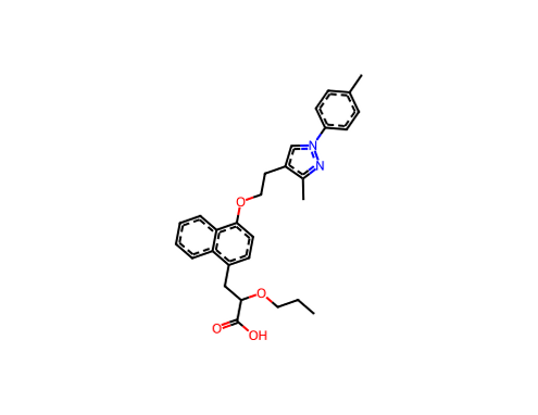 CCCOC(Cc1ccc(OCCc2cn(-c3ccc(C)cc3)nc2C)c2ccccc12)C(=O)O